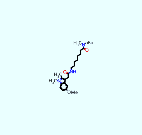 CCCCN(C)C(=O)CCCCCCCNC(=O)Cc1c(C)n(C)c2ccc(OC)cc12